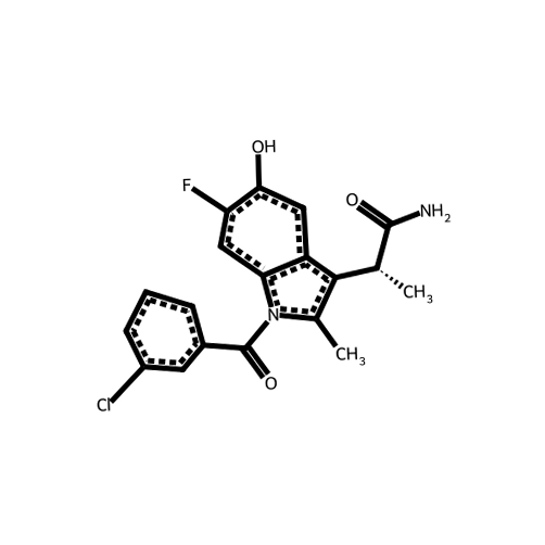 Cc1c([C@@H](C)C(N)=O)c2cc(O)c(F)cc2n1C(=O)c1cccc(Cl)c1